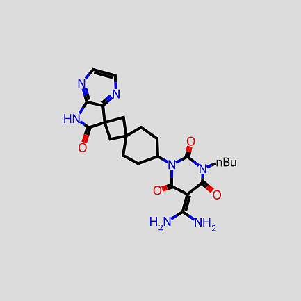 CCCCN1C(=O)C(=C(N)N)C(=O)N(C2CCC3(CC2)CC2(C3)C(=O)Nc3nccnc32)C1=O